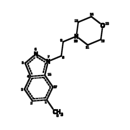 Cc1ccc2cnn(CCN3CCOCC3)c2c1